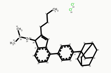 CCCCC1=Cc2c(-c3ccc(C45CC6CC(CC(C6)C4)C5)cc3)cccc2[CH]1[Zr+2][Si](C)C.[Cl-].[Cl-]